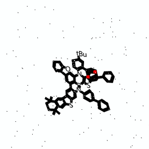 CC(C)(C)c1ccc(N2c3c(sc4cc(-c5ccccc5)ccc34)B3c4c(cc5c(oc6ccccc65)c42)-c2cc4c(cc2N3c2ccc(-c3ccccc3)cc2)sc2cc3c(cc24)C(C)(C)CCC3(C)C)c(-c2ccccc2)c1